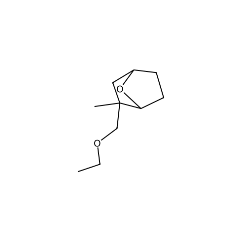 CCOCC1(C)CC2CCC1O2